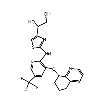 OCC(O)c1csc(Nc2ncc(C(F)(F)F)cc2OC2CCCc3cccnc32)n1